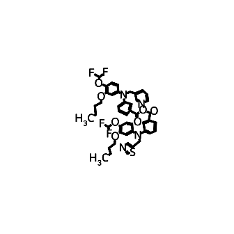 CCCCOc1cc(N(Cc2cccnc2)c2cccc(C(=O)OC(=O)c3cccc(N(Cc4cncs4)c4ccc(OC(F)F)c(OCCCC)c4)c3)c2)ccc1OC(F)F